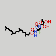 CC(C)CCCC(C)CCCC(C)CCCC(C)CCOC(=O)Nc1nc(=O)n(C2OC(C)C(O)C2O)cc1F